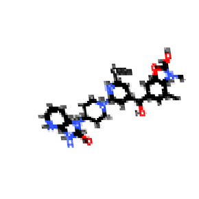 COc1cc(C(=O)c2cc(C)c3c(c2)oc(=O)n3C)cc(N2CCC(n3c(=O)[nH]c4ncccc43)CC2)n1